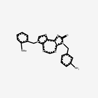 CNc1ccccc1Cn1cnc2c3nc(=O)n(Cc4cccc(N)c4)c-3ncnc21